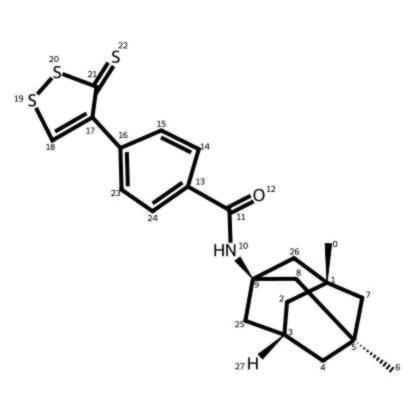 C[C@]12C[C@@H]3C[C@](C)(C1)C[C@](NC(=O)c1ccc(-c4cssc4=S)cc1)(C3)C2